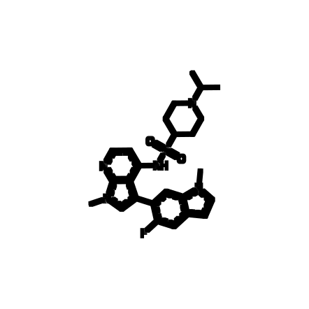 CC(C)N1CCC(S(=O)(=O)Nc2ccnc3c2c(-c2cc4c(ccn4C)cc2F)cn3C)CC1